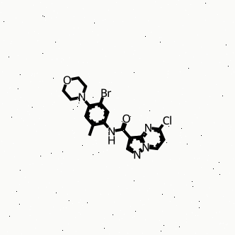 Cc1cc(N2CCOCC2)c(Br)cc1NC(=O)c1cnn2ccc(Cl)nc12